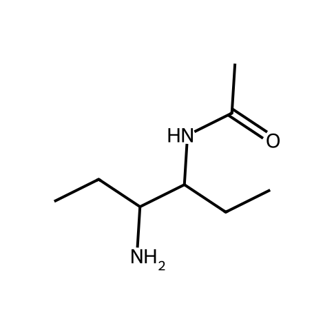 CCC(N)C(CC)NC(C)=O